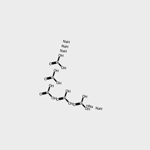 O=[Si](O)O.O=[Si](O)O.O=[Si](O)O.O=[Si](O)O.O=[Si](O)O.[NaH].[NaH].[NaH].[NaH].[NaH]